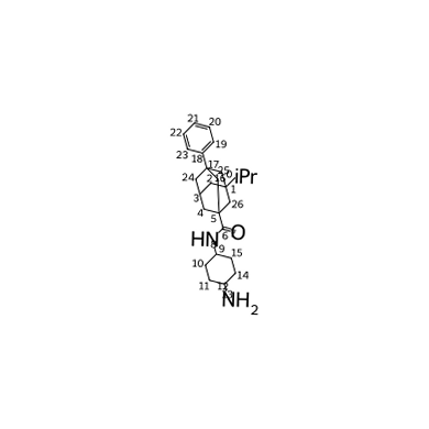 CC(C)C12CC3CC(C(=O)NC4CCC(N)CC4)(CC(c4ccccc4)(C3)C1)C2